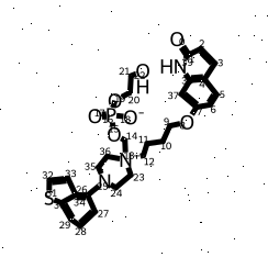 O=c1ccc2ccc(OCCCC[N+]3(COP(=O)([O-])OCCO)CCN(c4cccc5sccc45)CC3)cc2[nH]1